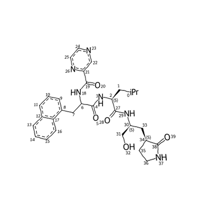 CC(C)C[C@H](NC(=O)C(Cc1cccc2ccccc12)NC(=O)c1cnccn1)C(=O)N[C@H](CO)C[C@@H]1CCNC1=O